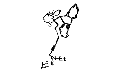 CCN(CC)CC#CCCCC1(C2(O)c3ccccc3-c3ccccc32)SCCCS1